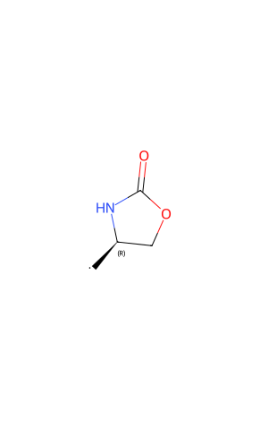 [CH2][C@@H]1COC(=O)N1